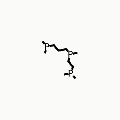 CP(C)CCCP(C)CCP(C)C